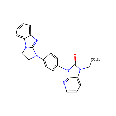 CCOC(=O)Cn1c(=O)n(-c2ccc(N3CCn4c3nc3ccccc34)cc2)c2ncccc21